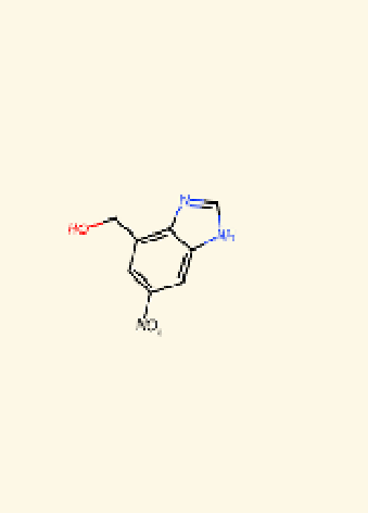 O=[N+]([O-])c1cc(CO)c2nc[nH]c2c1